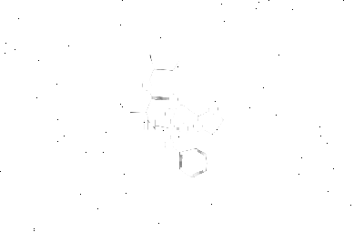 CC[C@H](C)OC(=O)[C@H](C)NP(=O)(OCC1OCCO1)Oc1ccccc1